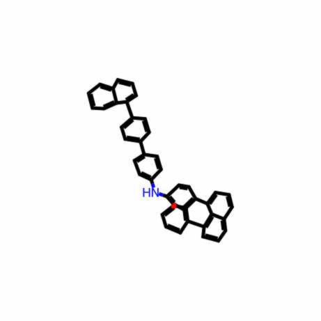 c1ccc(-c2cccc3cccc(-c4ccc(Nc5ccc(-c6ccc(-c7cccc8ccccc78)cc6)cc5)cc4)c23)cc1